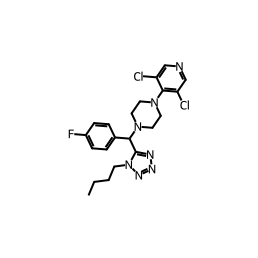 CCCCn1nnnc1C(c1ccc(F)cc1)N1CCN(c2c(Cl)cncc2Cl)CC1